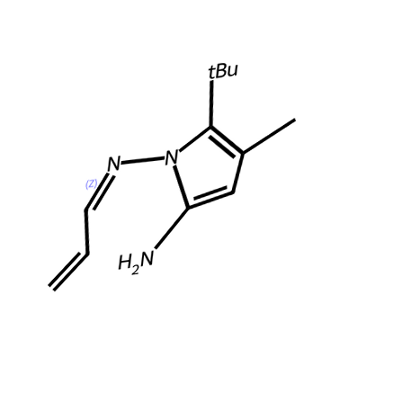 C=C/C=N\n1c(N)cc(C)c1C(C)(C)C